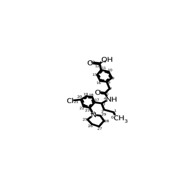 CCCC(NC(=O)Cc1ccc(C(=O)O)cc1)c1ccc(Cl)cc1N1CCCCC1